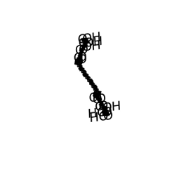 CC1=C(/C=C/C(C)=C/C=C/C(C)=C/C=C/C=C(C)/C=C/C=C(C)/C=C/C2=C(C)C(=O)C(OC(=O)CCC(=O)OCC(O)C3OC(=O)C(O)=C3O)CC2(C)C)C(C)(C)CC(OC(=O)CCC(=O)OCC(O)C2OC(=O)C(O)=C2O)C1=O